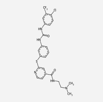 CN(C)CCNC(=O)c1ccnc(Sc2cccc(NC(=O)Nc3ccc(Cl)c(C(F)(F)F)c3)c2)c1